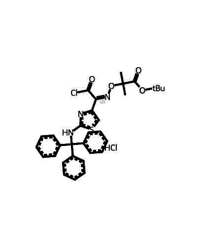 CC(C)(C)OC(=O)C(C)(C)O/N=C(\C(=O)Cl)c1csc(NC(c2ccccc2)(c2ccccc2)c2ccccc2)n1.Cl